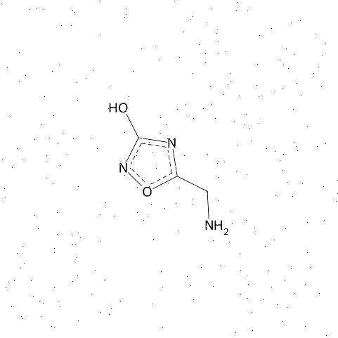 NCc1nc(O)no1